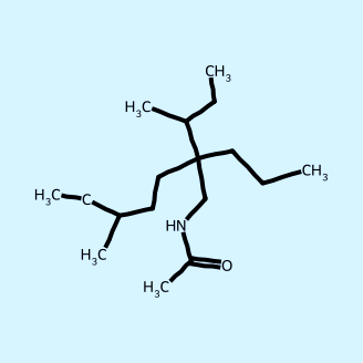 CCCC(CCC(C)CC)(CNC(C)=O)C(C)CC